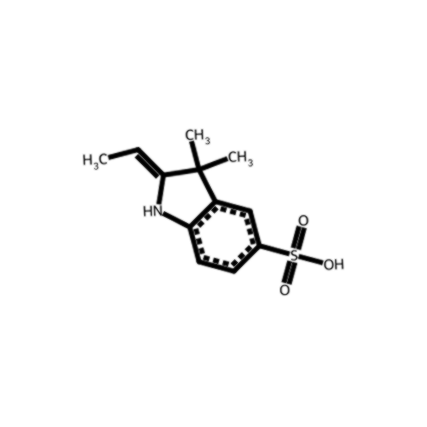 C/C=C1\Nc2ccc(S(=O)(=O)O)cc2C1(C)C